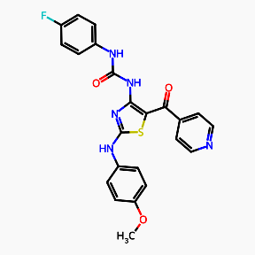 COc1ccc(Nc2nc(NC(=O)Nc3ccc(F)cc3)c(C(=O)c3ccncc3)s2)cc1